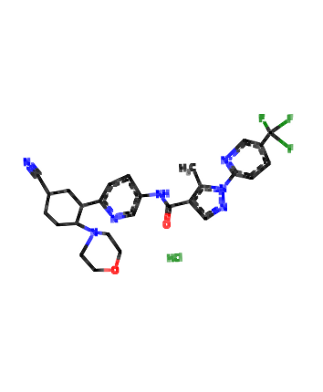 Cc1c(C(=O)Nc2ccc(C3CC(C#N)CCC3N3CCOCC3)nc2)cnn1-c1ccc(C(F)(F)F)cn1.Cl